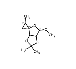 CO[C@@H]1O[C@@]2(C[C@H]2C)C2OC(C)(C)OC21